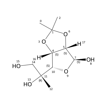 CC1(C)O[C@@H]2[C@H](O1)[C@@H](O)O[C@@H]2[C@](C)(O)CO